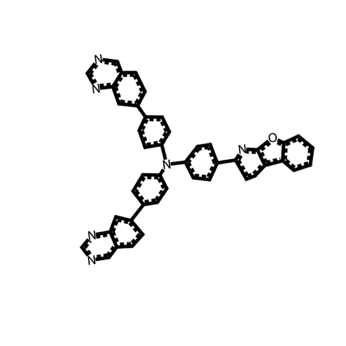 c1ccc2c(c1)oc1nc(-c3ccc(N(c4ccc(-c5ccc6cncnc6c5)cc4)c4ccc(-c5ccc6cncnc6c5)cc4)cc3)ccc12